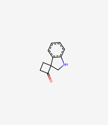 O=C1CCC12CNc1ccccc12